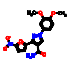 COc1ccc(-n2cc(C(N)=O)c(-c3ccc([N+](=O)[O-])o3)n2)cc1OC